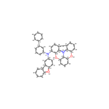 c1ccc(-c2cccc(N(c3ccc4oc5ccccc5c4c3)c3ccc4c5cccc6c5n5c4c3Oc3cccc(c3-5)O6)c2)cc1